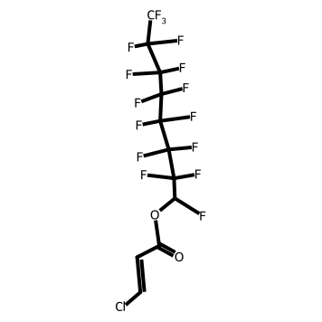 O=C(C=CCl)OC(F)C(F)(F)C(F)(F)C(F)(F)C(F)(F)C(F)(F)C(F)(F)C(F)(F)F